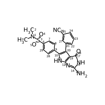 CN(C)S(=O)(=O)c1ccc(-c2[nH]c3nc(N)[nH]c(=O)c3c2-c2cccc(C#N)c2)cc1